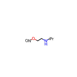 CC(C)NCCON=O